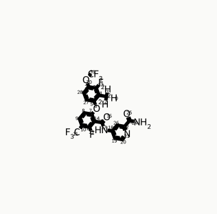 [2H]C([2H])([2H])c1c(Oc2ccc(C(F)(F)F)c(F)c2C(=O)Nc2ccnc(C(N)=O)c2)ccc(OC(F)(F)F)c1F